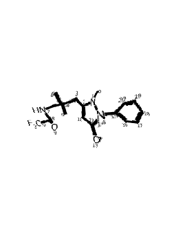 Cn1c(CC(C)(C)NC(=O)C(F)(F)F)cc(=O)n1-c1ccccc1